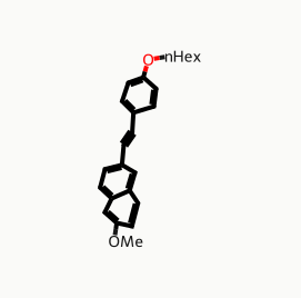 CCCCCCOc1ccc(C#Cc2ccc3cc(OC)ccc3c2)cc1